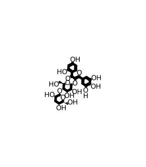 O=c1c(O[C@@H]2O[C@H](CO)[C@@H](O[C@@H]3O[C@H](CO)[C@H](O)C[C@H]3O)[C@H](O)[C@H]2O)c(-c2cc(O)c(O)c(O)c2)oc2cc(O)cc(O)c12